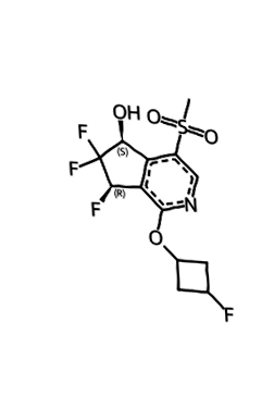 CS(=O)(=O)c1cnc(OC2CC(F)C2)c2c1[C@H](O)C(F)(F)[C@@H]2F